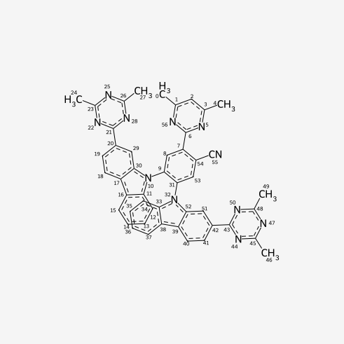 Cc1cc(C)nc(-c2cc(-n3c4ccccc4c4ccc(-c5nc(C)nc(C)n5)cc43)c(-n3c4ccccc4c4ccc(-c5nc(C)nc(C)n5)cc43)cc2C#N)n1